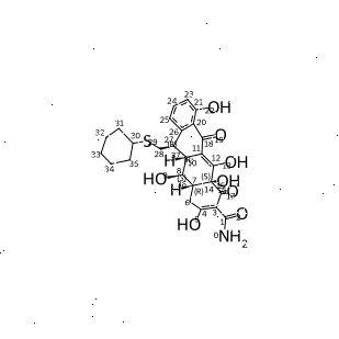 NC(=O)C1=C(O)C[C@@H]2[C@@H](O)[C@H]3C(=C(O)[C@]2(O)C1=O)C(=O)c1c(O)cccc1[C@@H]3CSC1CCCCC1